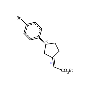 CCOC(=O)/C=C1\CC[C@H](c2ccc(Br)cc2)C1